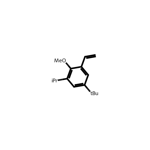 C=Cc1cc(C(C)(C)C)cc(C(C)C)c1OC